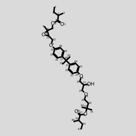 CCC(C)C(=O)OCC1(C)OC1COc1ccc(C(C)(C)c2ccc(OCC(O)COCCC(C)(C)OC(=O)C(C)CC)cc2)cc1